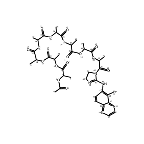 CC(=O)OC(C)C(=O)OC(C)C(=O)OC(C)C(=O)OC(C)C(=O)OC(C)C(=O)OC(C)C(=O)OC(C)C(=O)OC(C)C(=O)N1CCN=C1Nc1ccc2nccnc2c1Br